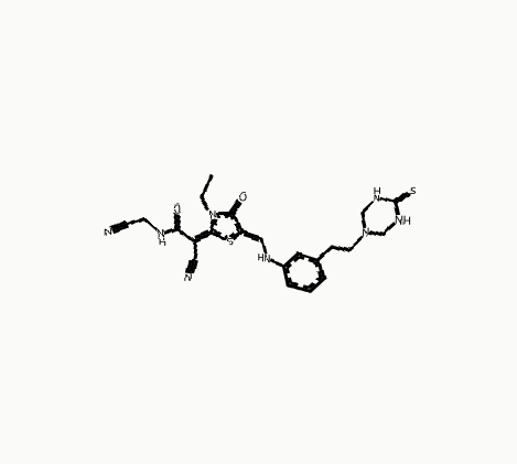 CCn1c(=C(C#N)C(=O)NCC#N)sc(=CNc2cccc(CCN3CNC(=S)NC3)c2)c1=O